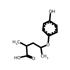 CC(CC(C)C(=O)O)Oc1ccc(O)cc1